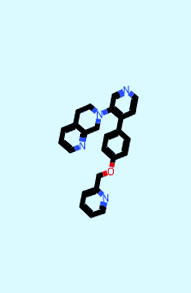 c1ccc(COc2ccc(-c3ccncc3N3CCc4cccnc4C3)cc2)nc1